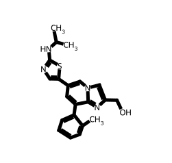 Cc1ccccc1-c1cc(-c2cnc(NC(C)C)s2)cn2cc(CO)nc12